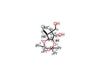 CC(C)[Si]1(C(C)C)O[C@H]2[C@@H](O[Si](C(C)C)(C(C)C)O1)/C(=C/Cl)[C@](C#N)(CO)[C@H]2O